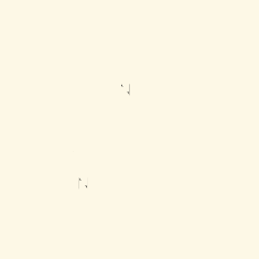 C1=Cc2ccccc2NC1.c1ccc2nc3ccccc3cc2c1